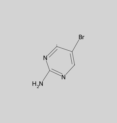 Nc1n[c]c(Br)cn1